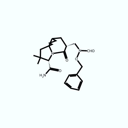 CC1(C)CC23CCCC2C[C@H](CN(C=O)OCc2ccccc2)C(=O)N3[C@@H]1C(N)=O